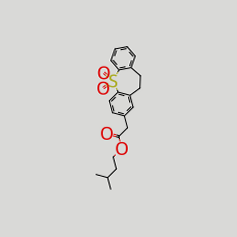 CC(C)CCOC(=O)Cc1ccc2c(c1)CCc1ccccc1S2(=O)=O